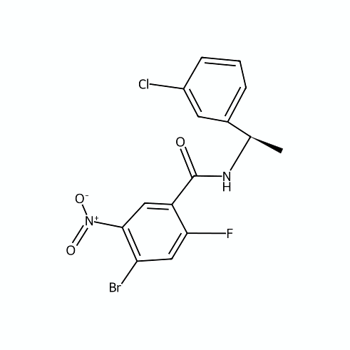 C[C@@H](NC(=O)c1cc([N+](=O)[O-])c(Br)cc1F)c1cccc(Cl)c1